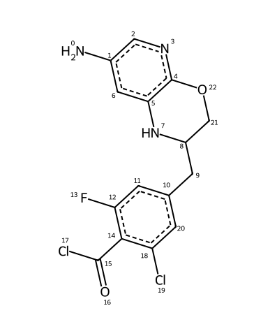 Nc1cnc2c(c1)NC(Cc1cc(F)c(C(=O)Cl)c(Cl)c1)CO2